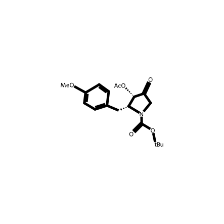 COc1ccc(C[C@@H]2[C@H](OC(C)=O)C(=O)CN2C(=O)OC(C)(C)C)cc1